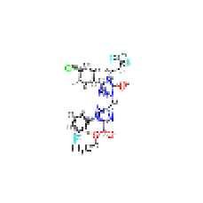 CCOC(=O)c1nc(Cn2nc(-c3ccc(Cl)cc3)n(CCC(F)(F)F)c2=O)nn1-c1cccc(F)c1